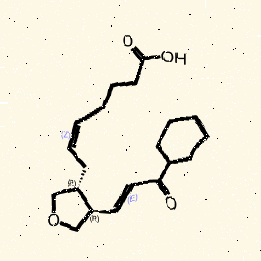 O=C(O)CCC/C=C\C[C@H]1COC[C@@H]1/C=C/C(=O)C1CCCCC1